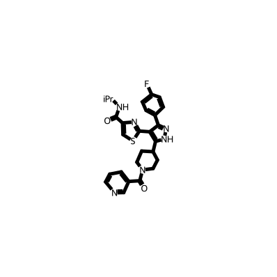 CC(C)NC(=O)c1csc(-c2c(-c3ccc(F)cc3)n[nH]c2C2CCN(C(=O)c3cccnc3)CC2)n1